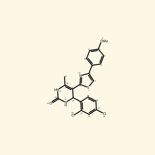 COc1ccc(-c2csc(C3=C(C)NC(=O)NC3c3ccc(Cl)cc3Cl)n2)cc1